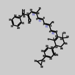 CC1=C(/C=C/C(C)=C/C=C/C(C)=C\C(=O)Nc2ccccc2)C(C)(C)CCC1c1ccc(C2CC2)cn1